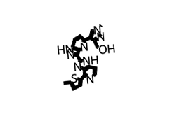 Cc1ccc(-c2nccc3[nH]c(-c4n[nH]c5ccc(-c6cn(C)nc6CO)nc45)nc23)s1